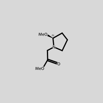 COC(=O)CN1CCC[C@@H]1OC